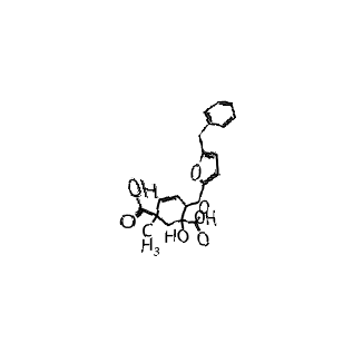 CC1(C(=O)O)C=CC(C(=O)c2ccc(Cc3ccccc3)o2)C(O)(C(=O)O)C1